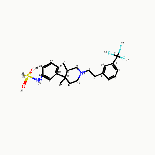 CC1CN(CCc2cccc(C(F)(F)F)c2)CCC1(C)c1cccc(NS(C)(=O)=O)c1